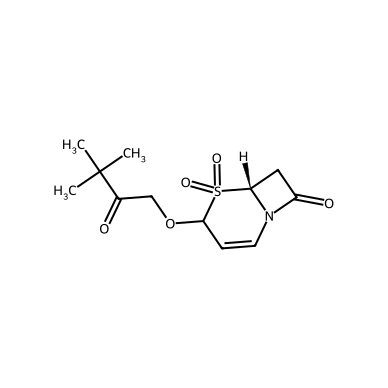 CC(C)(C)C(=O)COC1C=CN2C(=O)C[C@H]2S1(=O)=O